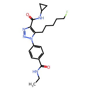 CCNC(=O)c1ccc(-n2nnc(C(=O)NC3CC3)c2CCCCCF)cc1